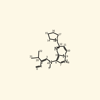 C=C/C(=C\N(C)c1cnn2ccc(N3CCCC3)nc12)C(C)C